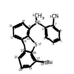 CN(c1ccccc1C#N)c1cccc2c1sc1c(C(C)(C)C)cccc12